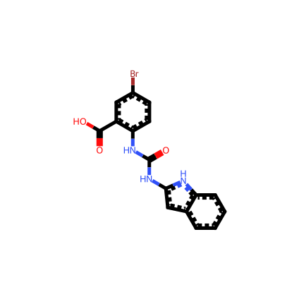 O=C(Nc1cc2ccccc2[nH]1)Nc1ccc(Br)cc1C(=O)O